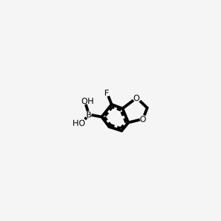 OB(O)c1ccc2c(c1F)OCO2